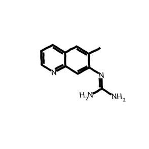 Cc1cc2cccnc2cc1N=C(N)N